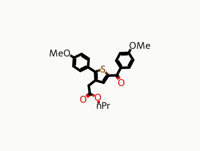 CCCOC(=O)Cc1cc(C(=O)c2ccc(OC)cc2)sc1-c1ccc(OC)cc1